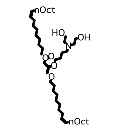 CCCCCCCC/C=C\CCCCCCCCOCC(COCCCCCCCC/C=C\CCCCCCCC)OC(=O)CCCN(CCO)CCO